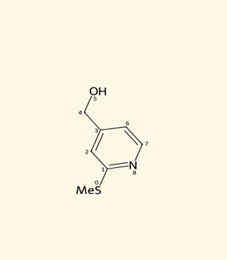 CSc1cc(CO)ccn1